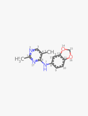 Cc1ncc(C)c(Nc2ccc3c(c2)OCO3)n1